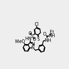 CCNC(=O)NCc1cccc(Cn2nc(NS(=O)(=O)C3=CC(Cl)=CCC3=S)c3c(OC)cccc32)c1